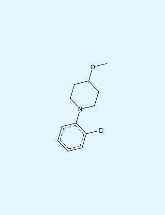 CO[C]1CCN(c2ccccc2Cl)CC1